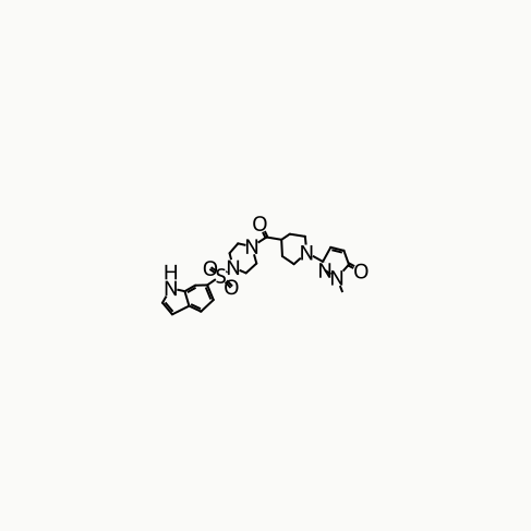 Cn1nc(N2CCC(C(=O)N3CCN(S(=O)(=O)c4ccc5cc[nH]c5c4)CC3)CC2)ccc1=O